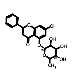 CC1O[C@@H](Oc2cc(O)cc3c2C(=O)CC(c2ccccc2)O3)C(O)C(O)[C@H]1O